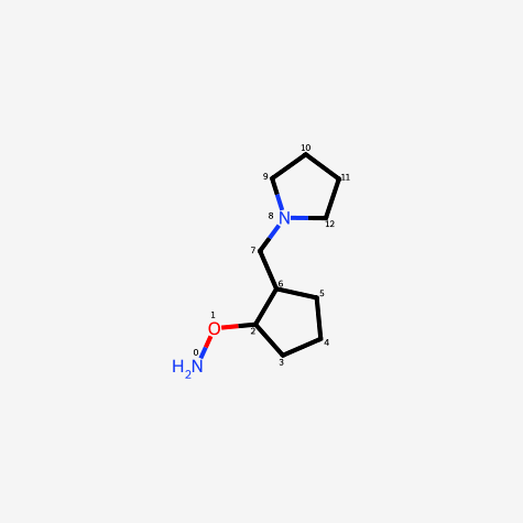 NOC1CCCC1CN1CCCC1